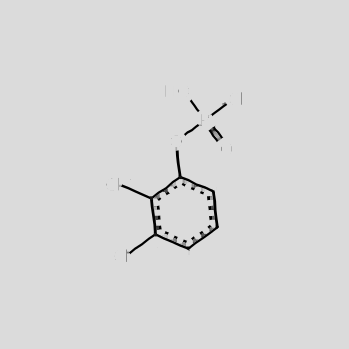 O=P(O)(Cl)Oc1cccc(Cl)c1Cl